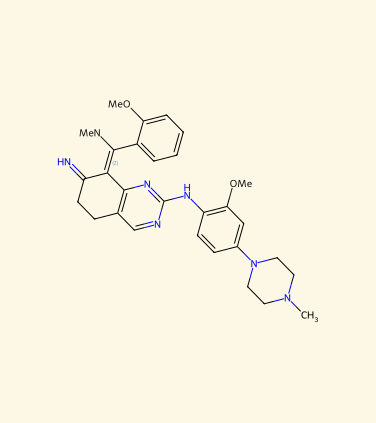 CN/C(=C1\C(=N)CCc2cnc(Nc3ccc(N4CCN(C)CC4)cc3OC)nc21)c1ccccc1OC